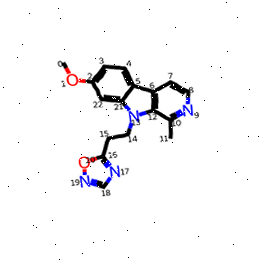 COc1ccc2c3ccnc(C)c3n(CCc3ncno3)c2c1